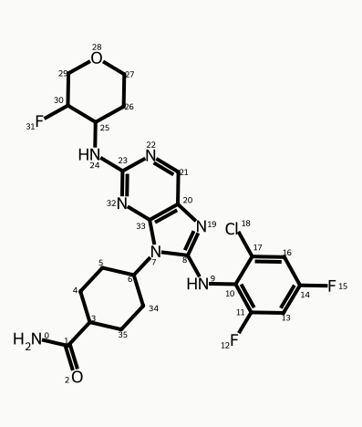 NC(=O)C1CCC(n2c(Nc3c(F)cc(F)cc3Cl)nc3cnc(NC4CCOCC4F)nc32)CC1